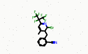 CC1=CC(C(F)(C(F)(F)F)C(F)(F)F)=NC(Br)[C]1Cc1ccccc1C#N